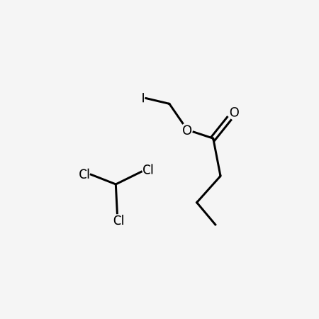 CCCC(=O)OCI.ClC(Cl)Cl